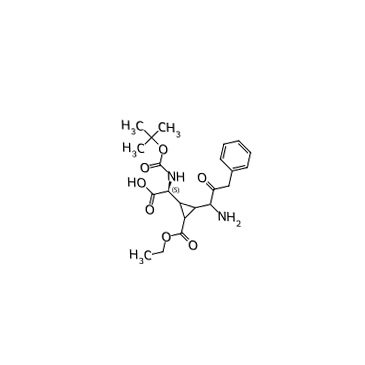 CCOC(=O)C1C(C(N)C(=O)Cc2ccccc2)C1[C@H](NC(=O)OC(C)(C)C)C(=O)O